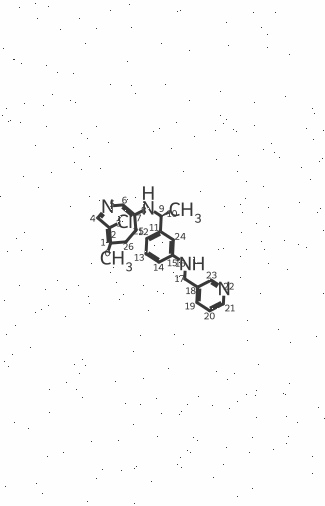 C\C1=C(Cl)/C=N\C=C(\N[C@@H](C)c2cccc(NCc3cccnc3)c2)CC1